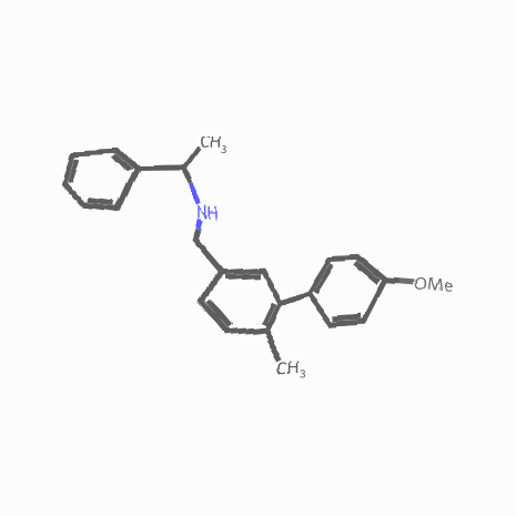 COc1ccc(-c2cc(CNC(C)c3ccccc3)ccc2C)cc1